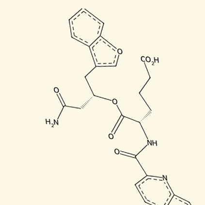 NC(=O)C[C@H](Cc1coc2ccccc12)OC(=O)[C@H](CCCC(=O)O)NC(=O)c1ccc2ccccc2n1